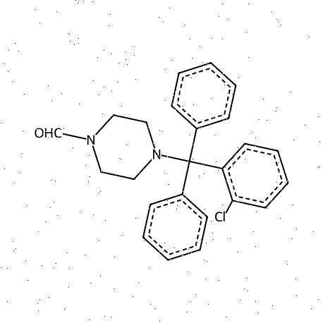 O=CN1CCN(C(c2ccccc2)(c2ccccc2)c2ccccc2Cl)CC1